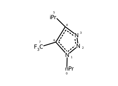 CCCn1nnc(C(C)C)c1C(F)(F)F